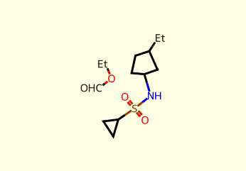 CCC1CCC(NS(=O)(=O)C2CC2)C1.CCOC=O